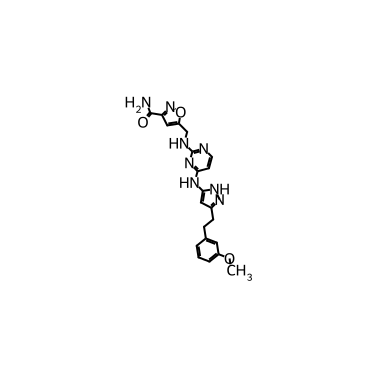 COc1cccc(CCc2cc(Nc3ccnc(NCc4cc(C(N)=O)no4)n3)[nH]n2)c1